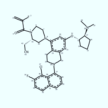 C=C(F)C(=O)N1CCN(c2nc(O[C@H]3CCC[C@@H]3N(C)C)nc3c2CCN(c2cccc4ccc(F)c(Cl)c24)C3)C[C@@H]1CC#N